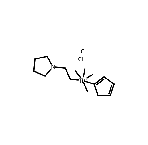 [CH3][Ti+2]([CH3])([CH3])([CH3])([CH2]CN1CCCC1)[C]1=CC=CC1.[Cl-].[Cl-]